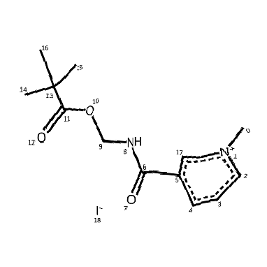 C[n+]1cccc(C(=O)NCOC(=O)C(C)(C)C)c1.[I-]